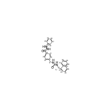 C[C@H](NC(=O)NCc1ccc(C(=O)NNc2ccccc2)cc1)c1cccc2ccccc12